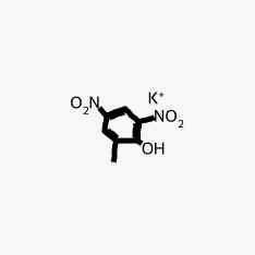 Cc1cc([N+](=O)[O-])cc([N+](=O)[O-])c1O.[K+]